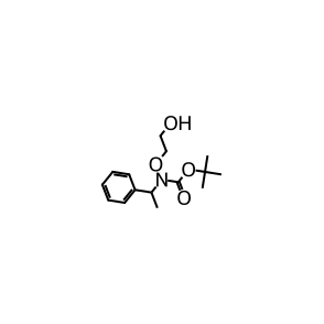 CC(c1ccccc1)N(OCCO)C(=O)OC(C)(C)C